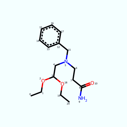 CCOC(CN(CCC(N)=O)Cc1ccccc1)OCC